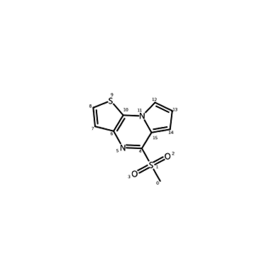 CS(=O)(=O)c1nc2ccsc2n2cccc12